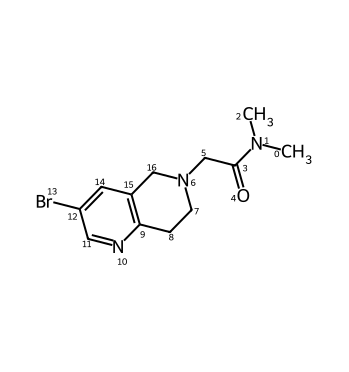 CN(C)C(=O)CN1CCc2ncc(Br)cc2C1